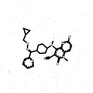 CN(c1c(C#N)c(=O)n(C)c2ccc(Cl)nc12)C1CCC(/C(=N\OCC2CC2)c2ccccn2)CC1